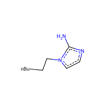 CCCCCCn1ccnc1N